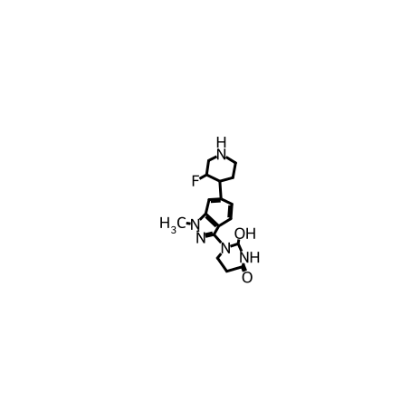 Cn1nc(N2CCC(=O)NC2O)c2ccc(C3CCNCC3F)cc21